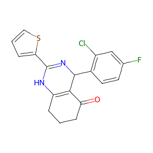 O=C1CCCC2=C1C(c1ccc(F)cc1Cl)N=C(c1cccs1)N2